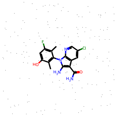 Cc1c(O)cc(F)c(C)c1-n1c(N)c(C(N)=O)c2cc(Cl)cnc21